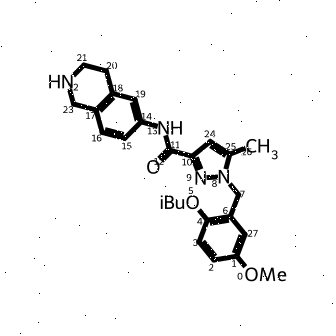 COc1ccc(OCC(C)C)c(Cn2nc(C(=O)Nc3ccc4c(c3)CCNC4)cc2C)c1